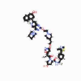 CCc1cccc2cc(O)cc(-c3ncc4c(N5CC6CCC(C5)N6)nc(OCCN5CCC(CCOc6cc([C@@H](C(=O)N7C[C@H](O)C[C@H]7C(=O)N[C@@H](C)c7ccc(-c8scnc8C)cc7)C(C)C)on6)CC5)nc4c3F)c12